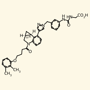 Cc1cccc(OCCCC(=O)N2C[C@H]3C[C@H]3c3c(-c4cnn(Cc5cccc(NC(=O)NCC(=O)O)c5)c4)cccc32)c1C